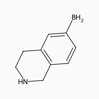 Bc1ccc2c(c1)CCNC2